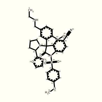 CCNCc1ccc(OC)c(C2(N3CCCC3c3ncco3)C(=O)N(S(=O)(=O)c3ccc(OC)cc3)c3ccc(C#N)cc32)c1